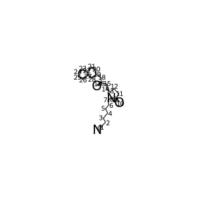 N#CCCCCCCN1C(=O)CCC1/C=C/C(=O)Cc1ccc2ccccc2c1